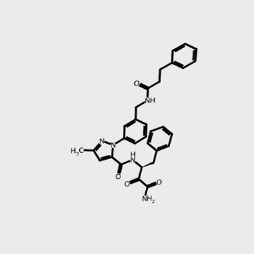 Cc1cc(C(=O)N[C@@H](Cc2ccccc2)C(=O)C(N)=O)n(-c2cccc(CNC(=O)CCc3ccccc3)c2)n1